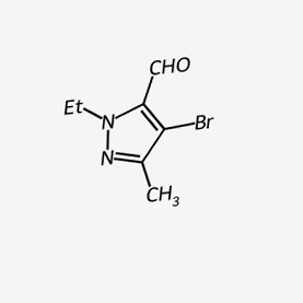 CCn1nc(C)c(Br)c1C=O